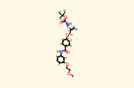 COCCOc1cccc(NC(=O)c2ccc(OC/C(=C\F)CNC(=O)OC(C)(C)C)cc2)c1